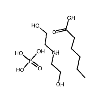 CCCCCC(=O)O.O=P(O)(O)O.OCCNCCO